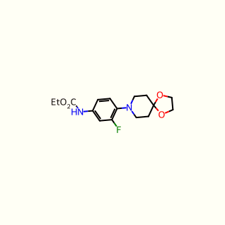 CCOC(=O)Nc1ccc(N2CCC3(CC2)OCCO3)c(F)c1